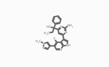 CCC(O)(c1ccccc1)c1cc(-c2c[nH]c3ncc(-c4cnn(C)c4)c(F)c23)nc(N)n1